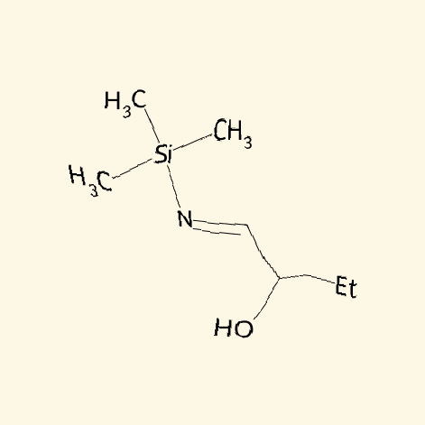 CCC(O)C=N[Si](C)(C)C